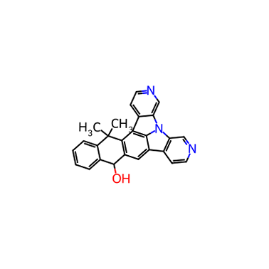 CC1(C)c2ccccc2C(O)c2cc3c4ccncc4n4c5cnccc5c(c21)c34